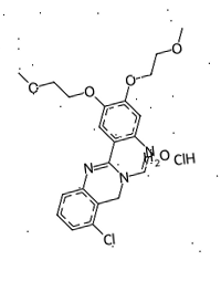 COCCOc1cc2c(cc1OCCOC)C1=Nc3cccc(Cl)c3CN1C=N2.Cl.O